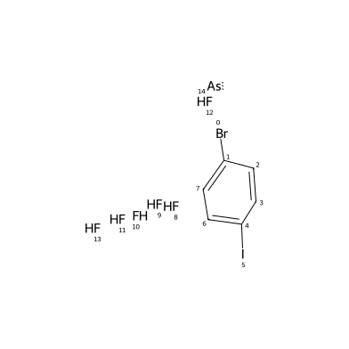 Brc1ccc(I)cc1.F.F.F.F.F.F.[As]